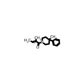 C/C=C(\C)C(=O)N1CCC(C)(c2ccccc2)CC1